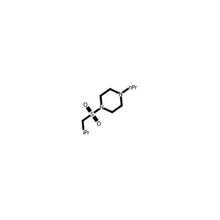 CCCN1CCN(S(=O)(=O)CC(C)C)CC1